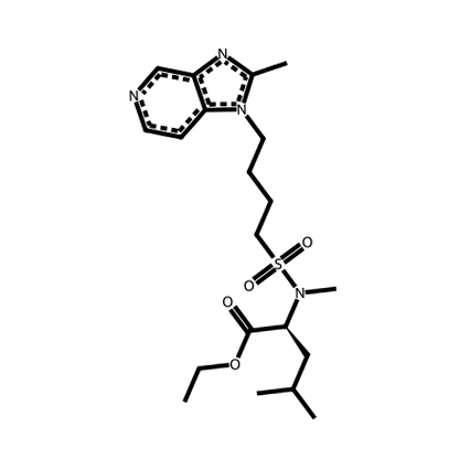 CCOC(=O)[C@H](CC(C)C)N(C)S(=O)(=O)CCCCn1c(C)nc2cnccc21